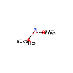 CCCCCCCCC(CCCCCC)C(=O)OCCCCCCOCC(CN(C)C)OCCCCCCOC(=O)C(CCCCCC)CCCCCCCC